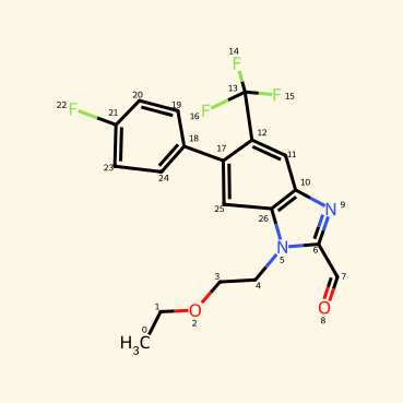 CCOCCn1c(C=O)nc2cc(C(F)(F)F)c(-c3ccc(F)cc3)cc21